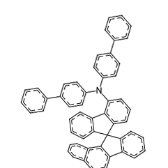 c1ccc(-c2ccc(N(c3ccc(-c4ccccc4)cc3)c3cccc4c3-c3ccccc3C43c4ccccc4-c4ccc5ccccc5c43)cc2)cc1